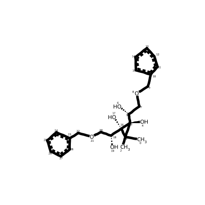 CC1(C)[C@@](O)([C@H](O)COCc2ccccc2)[C@]1(O)[C@H](O)COCc1ccccc1